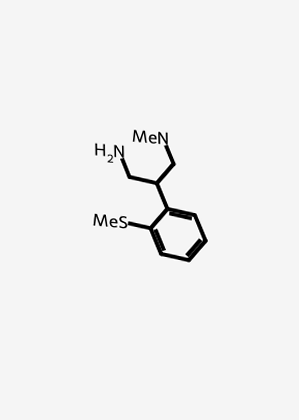 CNCC(CN)c1ccccc1SC